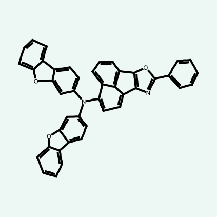 c1ccc(-c2nc3c(o2)-c2cccc4c(N(c5ccc6c(c5)oc5ccccc56)c5ccc6c(c5)oc5ccccc56)ccc-3c24)cc1